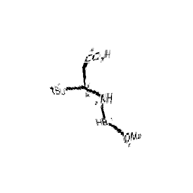 COBN[C@H](C(=O)O)C(C)(C)C